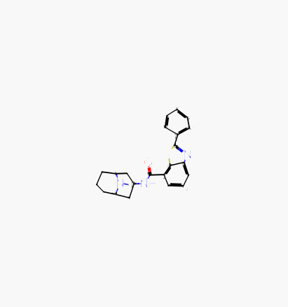 CN1C2CCCC1CC(NC(=O)c1cccc3nc(-c4ccccc4)sc13)C2